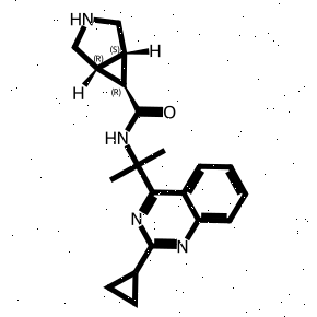 CC(C)(NC(=O)[C@H]1[C@@H]2CNC[C@@H]21)c1nc(C2CC2)nc2ccccc12